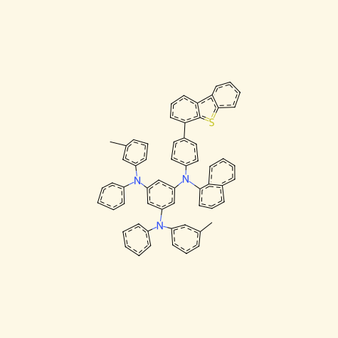 Cc1cccc(N(c2ccccc2)c2cc(N(c3ccccc3)c3cccc(C)c3)cc(N(c3ccc(-c4cccc5c4sc4ccccc45)cc3)c3cccc4ccccc34)c2)c1